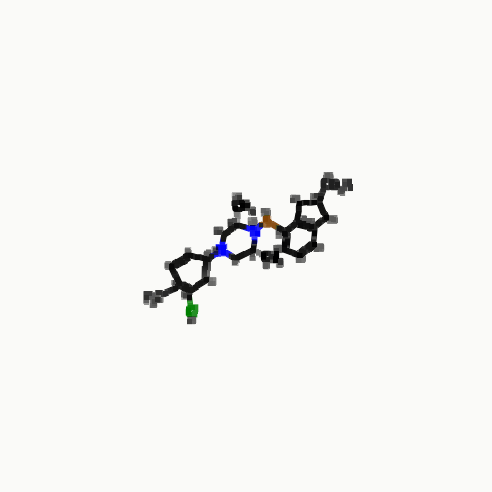 C[C@@H]1CN(c2ccc(C(F)(F)F)c(Cl)c2)C[C@H](C)N1Sc1cccc2c1CC(C(=O)O)C2